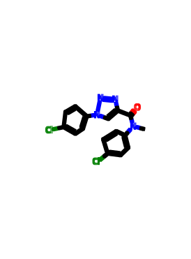 CN(C(=O)c1cn(-c2ccc(Cl)cc2)nn1)c1ccc(Cl)cc1